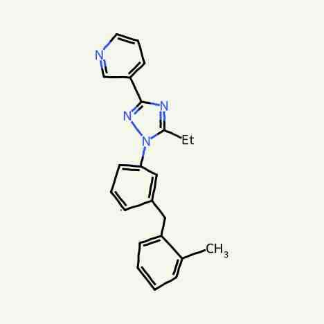 CCc1nc(-c2cccnc2)nn1-c1cc[c]c(Cc2ccccc2C)c1